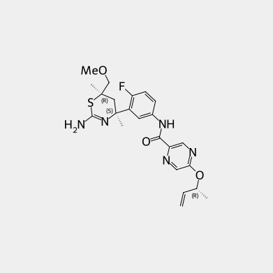 C=C[C@@H](C)Oc1cnc(C(=O)Nc2ccc(F)c([C@]3(C)C[C@](C)(COC)SC(N)=N3)c2)cn1